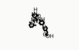 CC1CCCC(C)N1c1nc(Nc2ccc(N3CCC(CC(=O)O)CC3)cc2)c2c(=O)[nH]ncc2n1